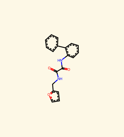 O=C(NCc1ccco1)C(=O)Nc1ccccc1-c1ccccc1